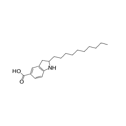 CCCCCCCCCCC1Cc2cc(C(=O)O)ccc2N1